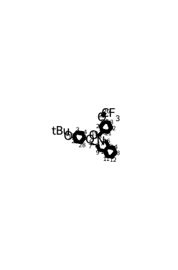 CC(C)(C)Oc1ccc(OC[C@@H]2Cc3ccccc3CN2C(=O)c2cccc(OC(F)(F)F)c2)cc1